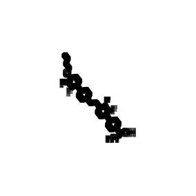 C=CCCOc1ccc(-c2ccc(/C=C/c3ccc(-c4ccc(C(O)CCC)cc4)c(F)c3F)cc2)c(F)c1F